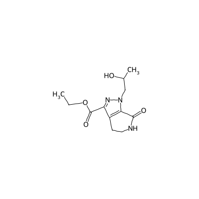 CCOC(=O)c1nn(CC(C)O)c2c1CCNC2=O